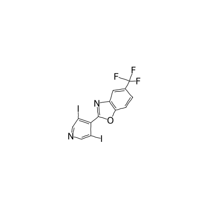 FC(F)(F)c1ccc2oc(-c3c(I)cncc3I)nc2c1